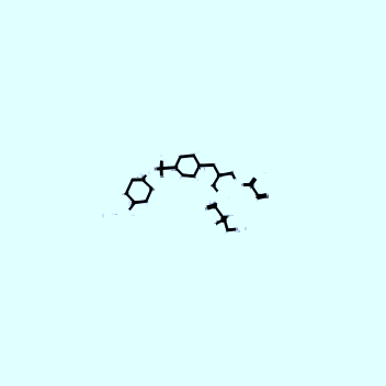 C=C(C)C(=O)OCC(COC(=O)C(C)(C)CO)CC1CCC(C(F)(F)OC2CCC(CCCCC)CC2)CC1